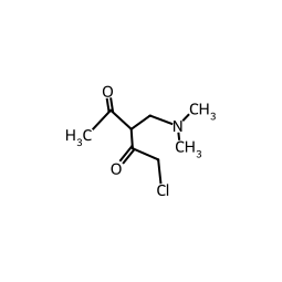 CC(=O)C(CN(C)C)C(=O)CCl